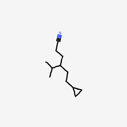 CC(C)C(CCC#N)CCC1CC1